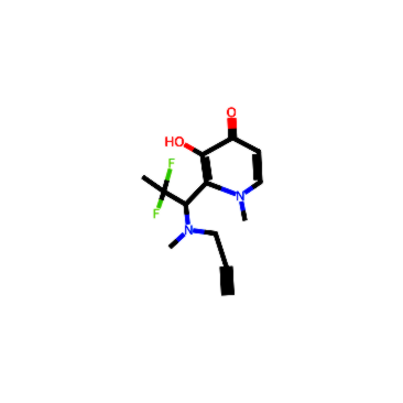 C#CCN(C)C(c1c(O)c(=O)ccn1C)C(C)(F)F